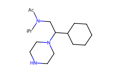 CC(=O)N(CC(C1CCCCC1)N1CCNCC1)C(C)C